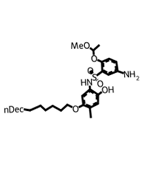 CCCCCCCCCCCCCCCCOc1cc(NS(=O)(=O)c2cc(N)ccc2OC(C)OC)c(O)cc1C